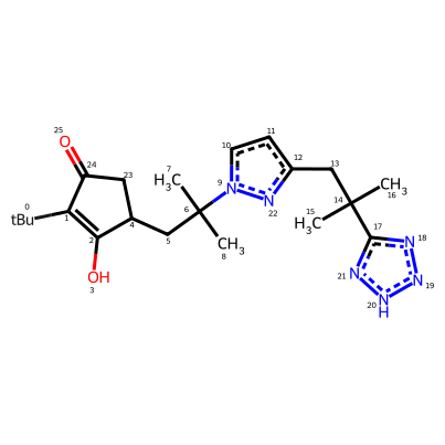 CC(C)(C)C1=C(O)C(CC(C)(C)n2ccc(CC(C)(C)c3nn[nH]n3)n2)CC1=O